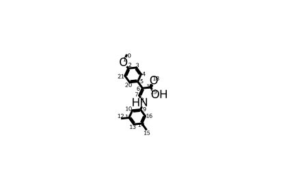 COc1ccc(C(=CNc2cc(C)cc(C)c2)C(=O)O)cc1